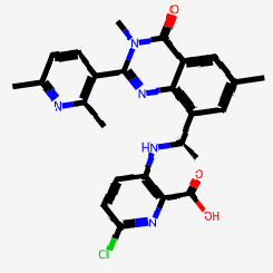 Cc1cc([C@@H](C)Nc2ccc(Cl)nc2C(=O)O)c2nc(-c3ccc(C)nc3C)n(C)c(=O)c2c1